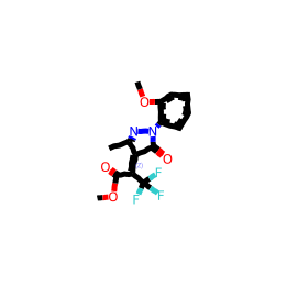 COC(=O)/C(=C1/C(=O)N(c2ccccc2OC)N=C1C)C(F)(F)F